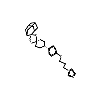 c1cn(CCCOc2ccc([C@H]3CC[C@]4(CC3)OO[C@]3(O4)C4CC5CC(C4)CC3C5)cc2)cn1